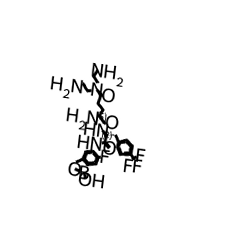 NCCN(CCN)C(=O)CC[C@H](N)C(=O)N[C@H](Cc1ccc(C(F)(F)F)cc1)C(=O)Nc1cc2c(cc1F)B(O)OC2